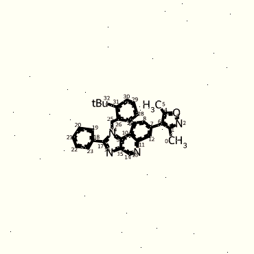 Cc1noc(C)c1-c1ccc2c(c1)ncc1nc(-c3ccccc3)n(Cc3ccccc3C(C)(C)C)c12